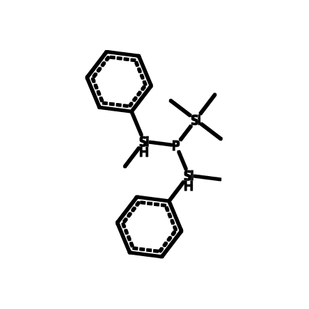 C[SiH](c1ccccc1)P([SiH](C)c1ccccc1)[Si](C)(C)C